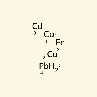 [Cd].[Co].[Cu].[Fe].[PbH2]